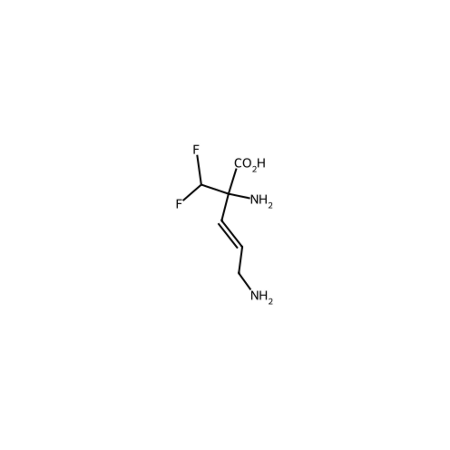 NCC=CC(N)(C(=O)O)C(F)F